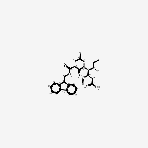 CC[C@H](C)[C@H](NC(=O)[C@H](CC(C)C)C(=O)OCC1c2ccccc2-c2ccccc21)[C@@H](CC(=O)O)OC